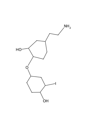 NCCC1CCC(OC2CCC(O)C(I)C2)C(O)C1